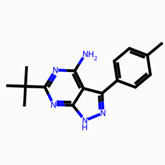 Cc1ccc(-c2n[nH]c3nc(C(C)(C)C)nc(N)c23)cc1